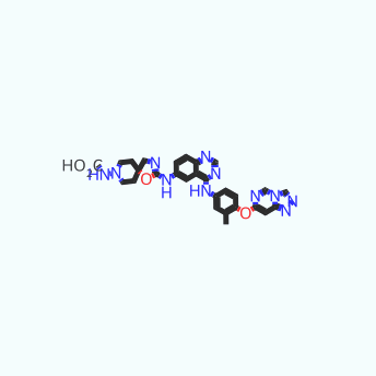 Cc1cc(Nc2ncnc3ccc(NC4=NCC5(CCN(NC(=O)O)CC5)O4)cc23)ccc1Oc1cc2nncn2cn1